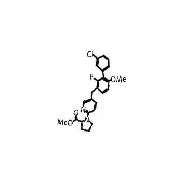 COC(=O)C1CCCN1c1ccc(Cc2ccc(OC)c(-c3cccc(Cl)c3)c2F)cn1